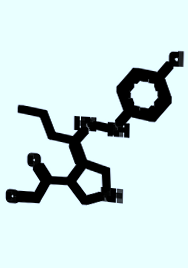 CCCC(NNc1ccc(Cl)cc1)=C1CNCC1C(=O)C=O